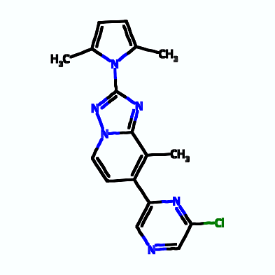 Cc1c(-c2cncc(Cl)n2)ccn2nc(-n3c(C)ccc3C)nc12